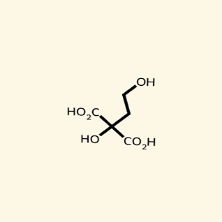 O=C(O)C(O)(CCO)C(=O)O